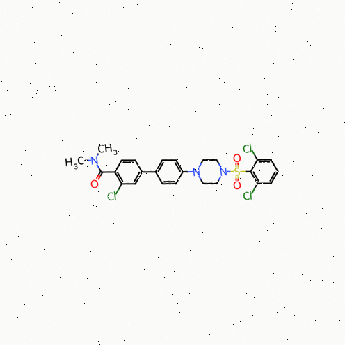 CN(C)C(=O)c1ccc(-c2ccc(N3CCN(S(=O)(=O)c4c(Cl)cccc4Cl)CC3)cc2)cc1Cl